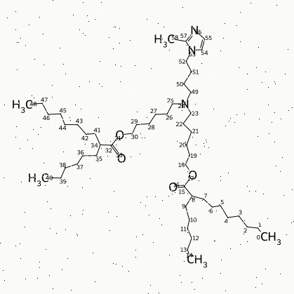 CCCCCCCCC(CCCCCC)C(=O)OCCCCCCN(CCCCCCOC(=O)C(CCCCCC)CCCCCCCC)CCCCn1ccnc1C